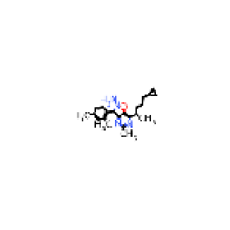 Cc1ccc(C2c3nc(C)nc(C(C)CCCC4CC4)c3ON2N)c(C)c1